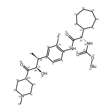 C[C@@H](c1ccc(NC(=O)[C@@H](NC(=O)OC(C)(C)C)C2CCCCCC2)c(F)c1)[C@@H](O)C(=O)N1CCN(C)CC1